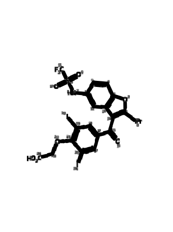 CC(C)c1oc2ccc(NS(=O)(=O)C(F)(F)F)cc2c1C(=O)c1cc(I)c(OCC(=O)O)c(I)c1